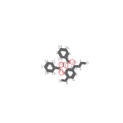 CCCCc1ccc(CC)c(OC(=O)c2ccccc2)c1OC(=O)c1ccccc1